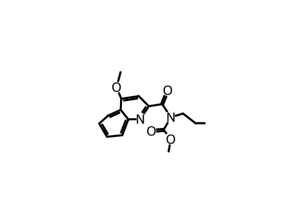 CCCN(C(=O)OC)C(=O)c1cc(OC)c2ccccc2n1